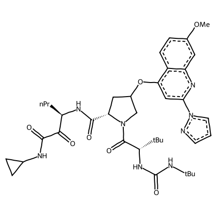 CCC[C@@H](NC(=O)[C@@H]1CC(Oc2cc(-n3cccn3)nc3cc(OC)ccc23)CN1C(=O)[C@@H](NC(=O)NC(C)(C)C)C(C)(C)C)C(=O)C(=O)NC1CC1